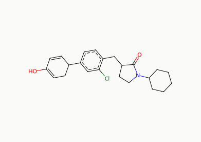 O=C1C(Cc2ccc(C3C=CC(O)=CC3)cc2Cl)CCN1C1CCCCC1